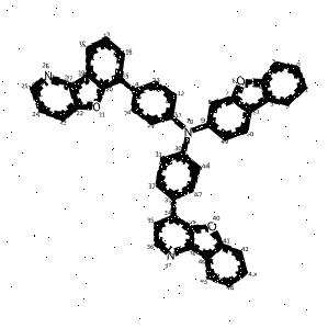 c1ccc2c(c1)oc1cc(N(c3ccc(-c4cccc5c4oc4cccnc45)cc3)c3ccc(-c4ccnc5c4oc4ccccc45)cc3)ccc12